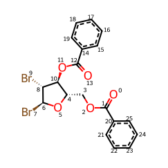 O=C(OC[C@@H]1O[C@@H](Br)[C@H](Br)[C@H]1OC(=O)c1ccccc1)c1ccccc1